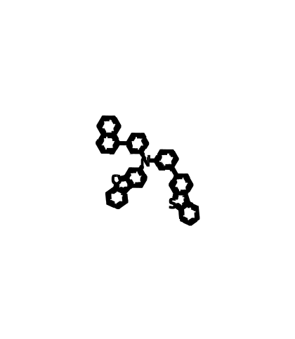 c1cc(-c2ccc3c(c2)sc2ccccc23)cc(N(c2cccc(-c3cccc4ccccc34)c2)c2ccc3c(c2)oc2ccccc23)c1